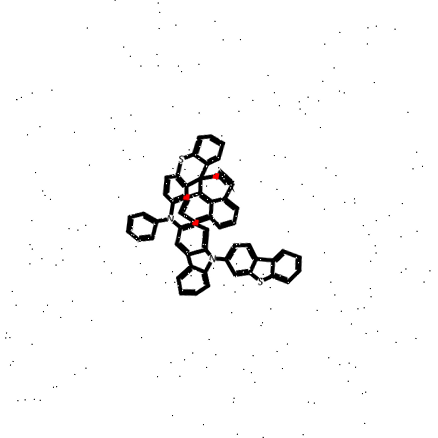 c1ccc(N(c2ccc3c(c2)C2(c4ccccc4S3)c3ccccc3-c3cccc4cccc2c34)c2ccc3c(c2)c2ccccc2n3-c2ccc3c(c2)sc2ccccc23)cc1